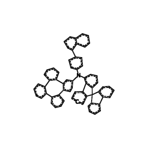 c1ccc2c(c1)-c1ccccc1-c1ccc(N(c3ccc(-c4cccc5ccccc45)cc3)c3cccc4c3-c3ccccc3C43c4ccccc4-c4ccccc43)cc1-c1ccccc1-2